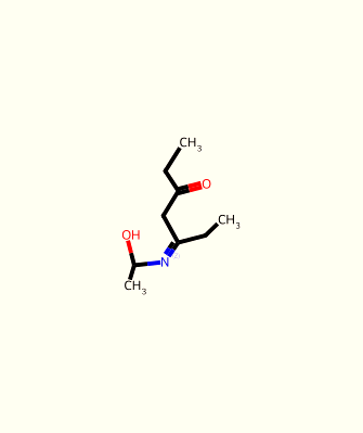 CCC(=O)C/C(CC)=N\C(C)O